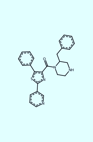 O=C(c1nc(-c2cccnc2)sc1-c1ccccc1)N1CCNCC1Cc1ccccc1